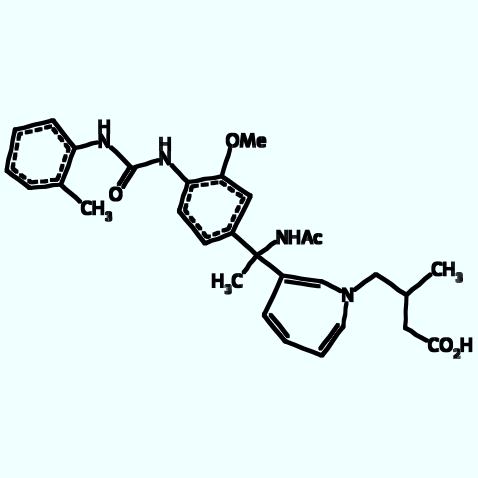 COc1cc(C(C)(NC(C)=O)C2=CN(CC(C)CC(=O)O)C=CC=C2)ccc1NC(=O)Nc1ccccc1C